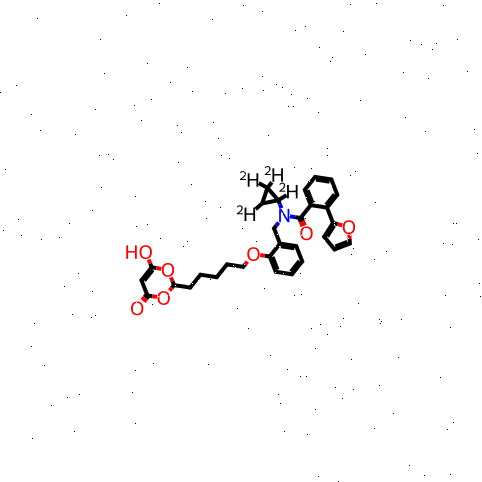 [2H]C1C([2H])([2H])C1([2H])N(Cc1ccccc1OCCCCCC1OC(=O)C=C(O)O1)C(=O)c1ccccc1-c1ccco1